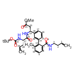 C=CCCNC(=O)c1cccc(C)c1-c1cccc([C@H](CC(=O)OC)NC(=O)[C@H](CC=C)NC(=O)OC(C)(C)C)c1